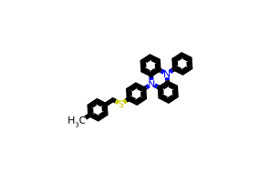 Cc1ccc(CSc2ccc(N3c4ccccc4N(c4ccccc4)c4ccccc43)cc2)cc1